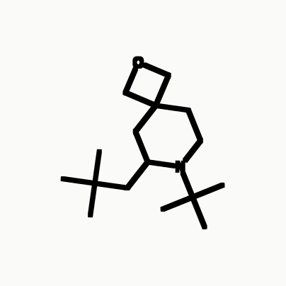 CC(C)(C)CC1CC2(CCN1C(C)(C)C)COC2